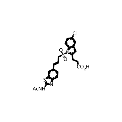 CC(=O)Nc1nc2ccc(C=CCS(=O)(=O)n3c(CCC(=O)O)cc4cc(Cl)ccc43)cc2s1